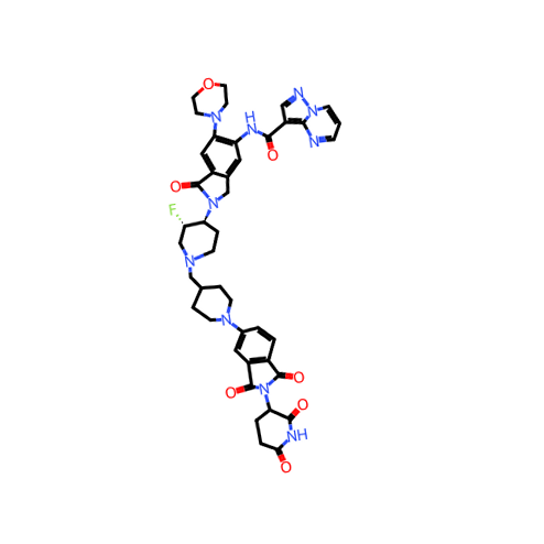 O=C1CCC(N2C(=O)c3ccc(N4CCC(CN5CC[C@H](N6Cc7cc(NC(=O)c8cnn9cccnc89)c(N8CCOCC8)cc7C6=O)[C@@H](F)C5)CC4)cc3C2=O)C(=O)N1